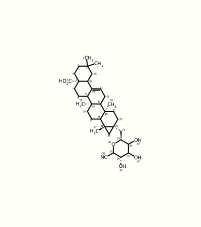 CC1(C)CC[C@]2(C(=O)O)CCC3C(=CCC4[C@@]3(C)CCC3[C@]4(C)CC[C@@]4(C[C@@H]5OC(C#N)[C@@H](O)C(O)C5O)C[C@]34C)C2C1